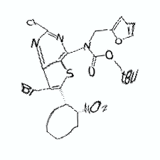 CC(C)(C)OC(=O)N(Cc1ccco1)c1nc(Cl)nc2c(Br)c([C@H]3CCCC[C@H]3[N+](=O)[O-])sc12